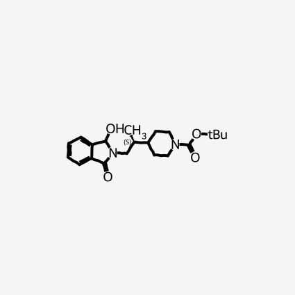 C[C@H](CN1C(=O)c2ccccc2C1O)C1CCN(C(=O)OC(C)(C)C)CC1